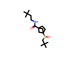 CC(C)(C)CCNC(=O)C12CCC([S+]([O-])CC(C)(C)C)(C1)C2